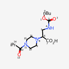 CCCCOC(=O)NCC(C(=O)O)N1CCN(C(=O)C(C)C)CC1